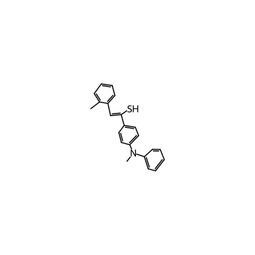 Cc1ccccc1/C=C(\S)c1ccc(N(C)c2ccccc2)cc1